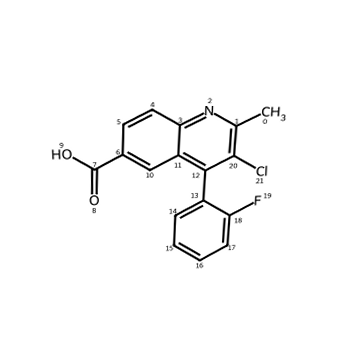 Cc1nc2ccc(C(=O)O)cc2c(-c2ccccc2F)c1Cl